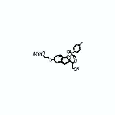 COCCOc1ccc2c(c1)cc(C(=O)CC#N)n2S(=O)(=O)c1ccc(C)cc1